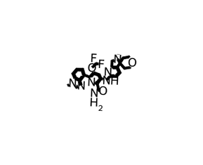 CN1Cc2nc(Nc3cc(OC(F)F)c(-c4cccc5c4ncn5C)nc3C(N)=O)ccc2C12CCOCC2